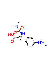 CN(C)S(=O)(=O)N[C@@H](Cc1ccc(N)cc1)C(=O)O